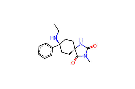 CCN[C@]1(c2ccccc2)CC[C@@]2(CC1)NC(=O)N(C)C2=O